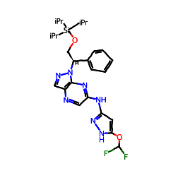 CC(C)[Si](OC[C@@H](c1ccccc1)n1ncc2ncc(Nc3cc(OC(F)F)[nH]n3)nc21)(C(C)C)C(C)C